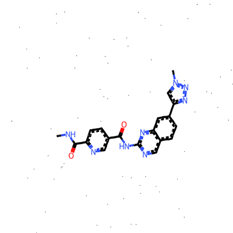 CNC(=O)c1ccc(C(=O)Nc2ncc3ccc(-c4cn(C)nn4)cc3n2)cn1